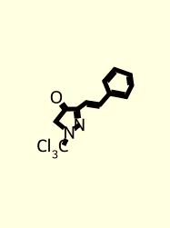 O=C1CN(C(Cl)(Cl)Cl)N=C1C=Cc1ccccc1